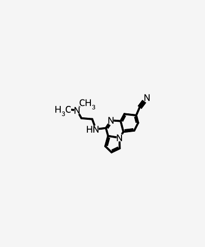 CN(C)CCNc1nc2cc(C#N)ccc2n2cccc12